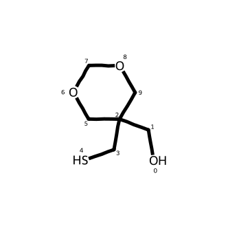 OCC1(CS)COCOC1